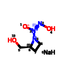 [NaH].[O-]/[N+](=N/O)N1CC[C@H]1CO